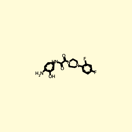 Nc1ccc(NC(=O)C(=O)N2CCN(c3ccc(F)cc3F)CC2)cc1O